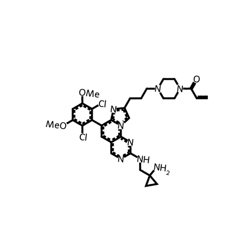 C=CC(=O)N1CCN(CCCc2cn3c(n2)c(-c2c(Cl)c(OC)cc(OC)c2Cl)cc2cnc(NCC4(N)CC4)nc23)CC1